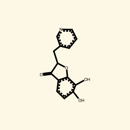 O=C1c2ccc(O)c(O)c2OC1Cc1cccnc1